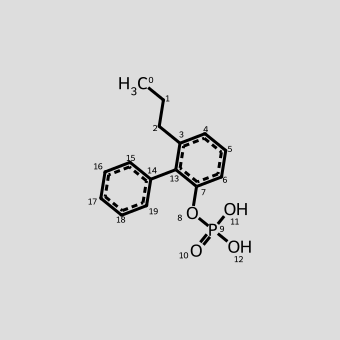 CCCc1cccc(OP(=O)(O)O)c1-c1ccccc1